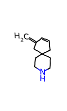 C=C1C=CCC2(CCNCC2)C1